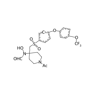 CC(=O)N1CCC(CS(=O)(=O)c2ccc(Oc3ccc(OC(F)(F)F)cc3)cc2)(N(O)C=O)CC1